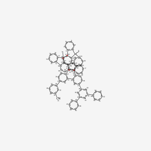 CC1(C)c2ccccc2-c2ccc3c(c21)c1ccccc1n3-c1ccc(-c2cccc(C#N)c2)cc1-c1cc(-c2nc(-c3ccccc3)nc(-c3ccccc3)n2)ccc1-n1c2ccccc2c2c3c(ccc21)-c1ccccc1C3(C)C